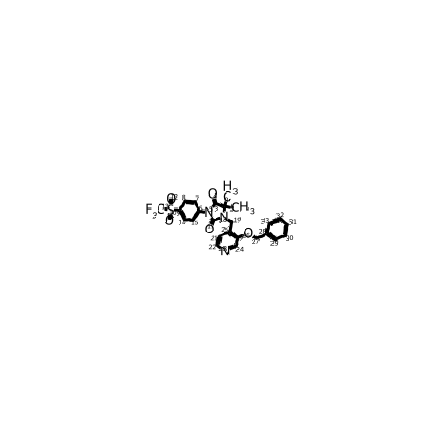 CC1(C)C(=O)N(c2ccc(S(=O)(=O)C(F)(F)F)cc2)C(=O)N1Cc1ccncc1OCc1ccccc1